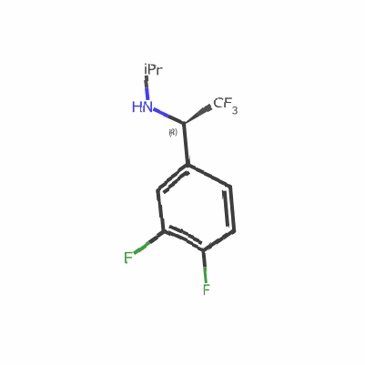 CC(C)N[C@H](c1ccc(F)c(F)c1)C(F)(F)F